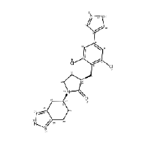 O=C1[C@H](Cc2c(Cl)cc(-c3cn[nH]c3)cc2Cl)CCN1[C@H]1CCc2n[nH]cc2C1